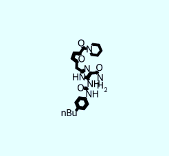 CCCCc1ccc(NC(=O)Nc2[nH]c(Cc3ccc(C(=O)N4CCCCC4)o3)nc2C(N)=O)cc1